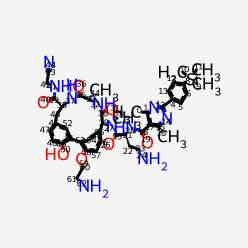 Cc1nc(-c2ccc([Si](C)(C)C)cc2)nc(C)c1C(=O)N[C@@H](CCN)C(=O)N(C)[C@@H]1C(=O)N[C@@H](C)C(=O)N[C@H](C(=O)NCC#N)Cc2ccc(O)c(c2)-c2cc1ccc2OCCN